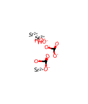 O=C([O-])[O-].O=C([O-])[O-].[OH-].[OH-].[Sr+2].[Sr+2].[Sr+2]